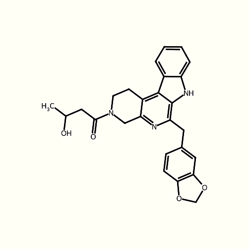 CC(O)CC(=O)N1CCc2c(nc(Cc3ccc4c(c3)OCO4)c3[nH]c4ccccc4c23)C1